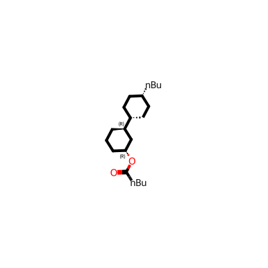 CCCCC(=O)O[C@@H]1CCC[C@@H]([C@H]2CC[C@@H](CCCC)CC2)C1